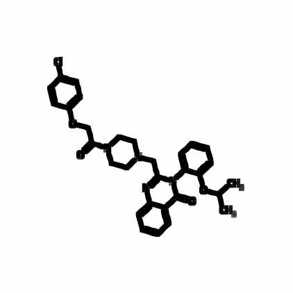 CC(C)Oc1ccccc1-n1c(CN2CCN(C(=O)COc3ccc(Cl)cc3)CC2)nc2ccccc2c1=O